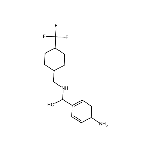 NC1C=CC(C(O)NCC2CCC(C(F)(F)F)CC2)=CC1